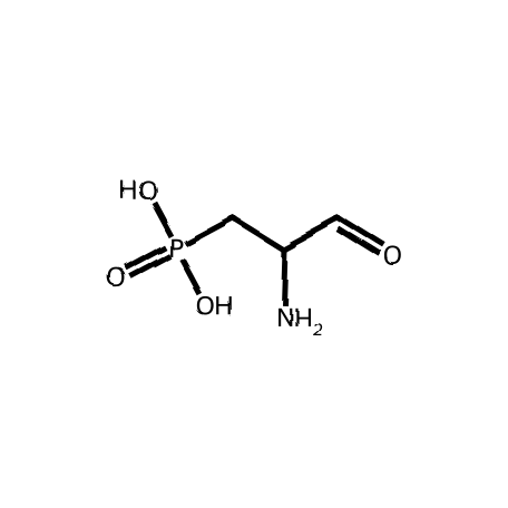 NC(C=O)CP(=O)(O)O